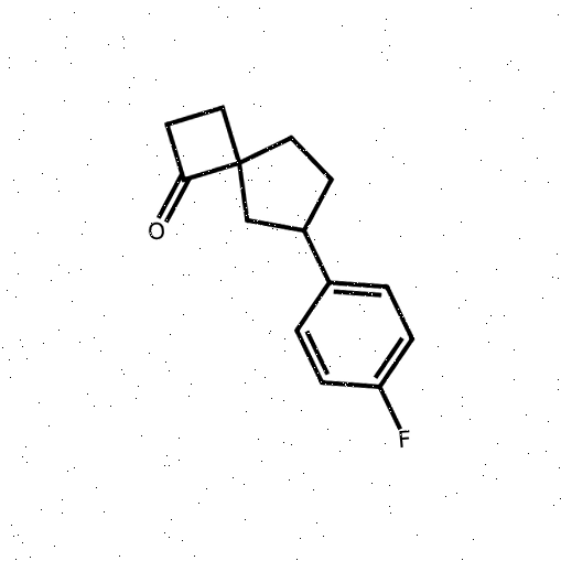 O=C1CCC12CCC(c1ccc(F)cc1)C2